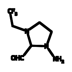 NN1CCN(CC(F)(F)F)C1C=O